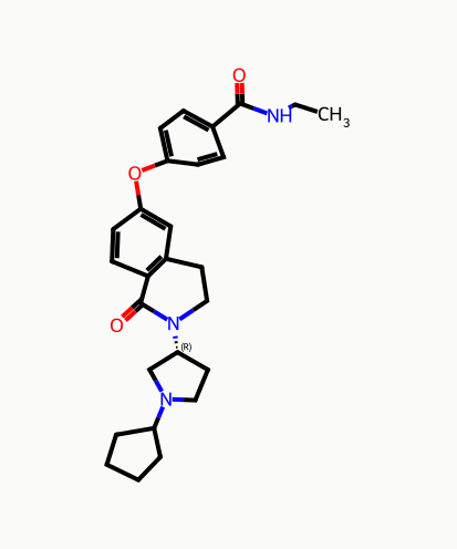 CCNC(=O)c1ccc(Oc2ccc3c(c2)CCN([C@@H]2CCN(C4CCCC4)C2)C3=O)cc1